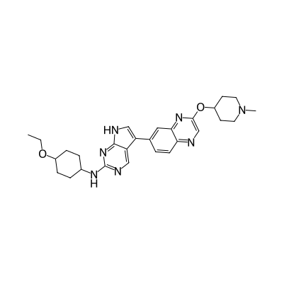 CCOC1CCC(Nc2ncc3c(-c4ccc5ncc(OC6CCN(C)CC6)nc5c4)c[nH]c3n2)CC1